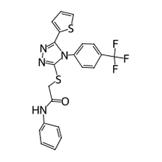 O=C(CSc1nnc(-c2cccs2)n1-c1ccc(C(F)(F)F)cc1)Nc1ccccc1